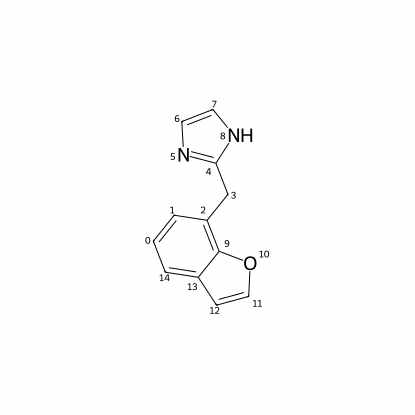 c1cc(Cc2ncc[nH]2)c2occc2c1